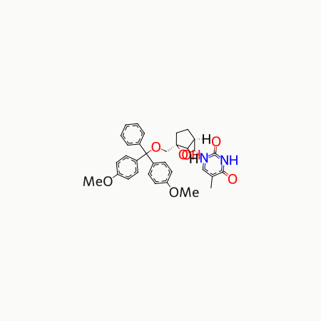 COc1ccc(C(OC[C@@]23CC[C@@H]([C@H](n4cc(C)c(=O)[nH]c4=O)O2)[C@@H]3O)(c2ccccc2)c2ccc(OC)cc2)cc1